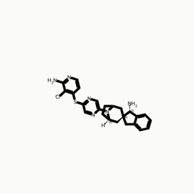 Nc1nccc(Sc2cnc(N3C4CC[C@@H]3C[C@@]3(Cc5ccccc5[C@H]3N)C4)cn2)c1Cl